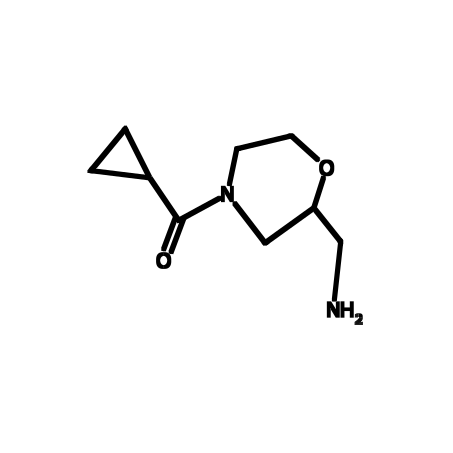 NCC1CN(C(=O)C2CC2)CCO1